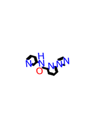 O=C(Nc1cccnc1)c1cccc(-n2ccnc2)n1